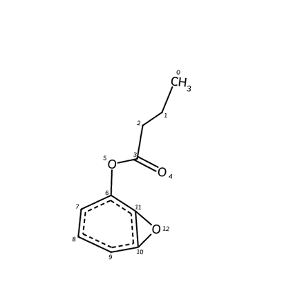 CCCC(=O)Oc1cccc2c1O2